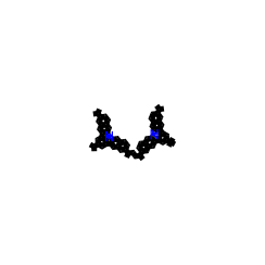 CC(C)c1ccc2cc3c(cc2c1)c1cc(C(C)C)cc2c4cc5cc(C(C)CCC(C)c6ccc7cc8c(cc7c6)c6cc(C(C)(C)C)cc7c9cc%10cc(C(C)C)ccc%10cc9n8c76)ccc5cc4n3c12